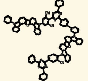 N#Cc1cc(-c2nc(-c3ccccc3)nc(-c3ccccc3)n2)ccc1-n1c2ccccc2c2c3oc4c(ccc5c4c4ccccc4n5-c4cccc(-c5ccc(-c6nc(-c7ccccc7)nc(-c7c(C#N)cc(-n8c9ccccc9c9c%10oc%11c(ccc%12c%11c%11ccccc%11n%12-c%11ccccc%11)c%10ccc98)cc7C#N)n6)cc5)c4)c3ccc21